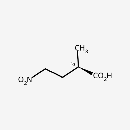 C[C@H](CC[N+](=O)[O-])C(=O)O